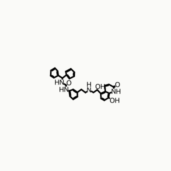 O=C(Nc1cccc(CCNCC(O)c2ccc(O)c3[nH]c(=O)ccc23)c1)NC(c1ccccc1)c1ccccc1